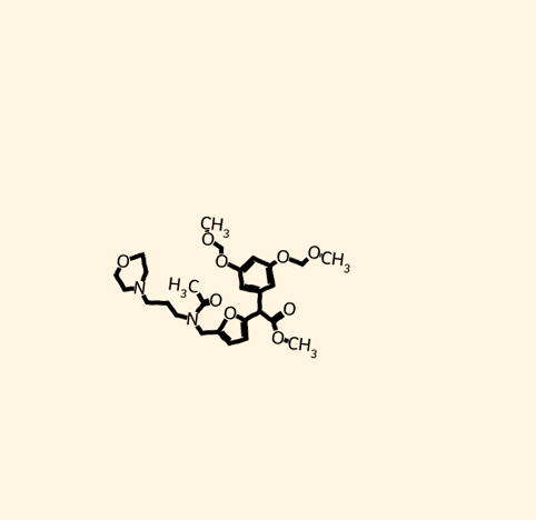 COCOc1cc(OCOC)cc(C(C(=O)OC)c2ccc(CN(CCCN3CCOCC3)C(C)=O)o2)c1